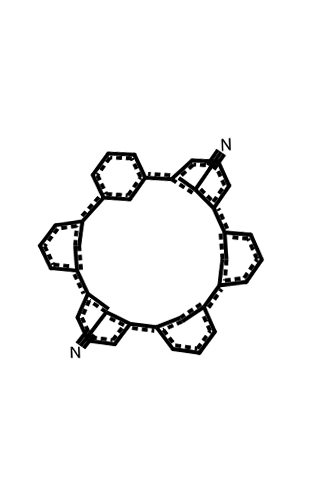 N#Cc1c2cccc1c1cccc(c1)c1cccc(c1)c1cccc(c1C#N)c1cccc(c1)c1cccc2c1